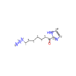 [N-]=[N+]=NCCCCCCC(=O)c1ncc[nH]1